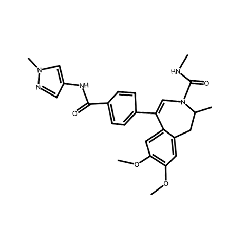 CNC(=O)N1C=C(c2ccc(C(=O)Nc3cnn(C)c3)cc2)c2cc(OC)c(OC)cc2CC1C